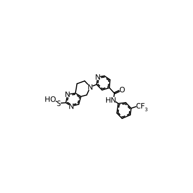 O=C(Nc1cccc(C(F)(F)F)c1)c1ccnc(N2CCc3nc(SO)ncc3C2)c1